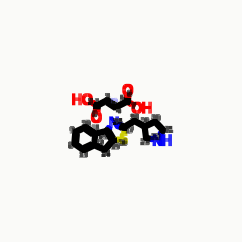 O=C(O)/C=C/C(=O)O.c1ccc2c(c1)Cc1sc(CC3CCNC3)nc1-2